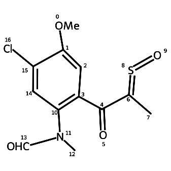 COc1cc(C(=O)C(C)=S=O)c(N(C)C=O)cc1Cl